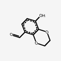 O=Cc1ccc(O)c2c1OCCO2